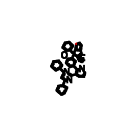 c1ccc(-c2cc(-c3ccccc3)nc(-c3cccnc3-c3ccc4c(c3)C3(c5ccccc5O4)c4ccccc4-c4ccccc43)n2)cc1